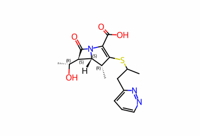 CC(Cc1cccnn1)SC1=C(C(=O)O)N2C(=O)[C@H]([C@@H](C)O)[C@H]2[C@H]1C